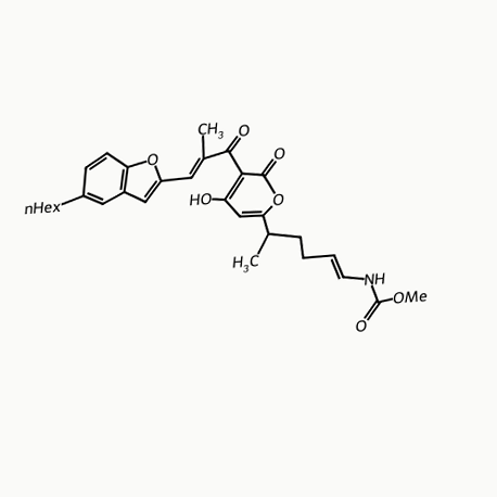 CCCCCCc1ccc2oc(/C=C(\C)C(=O)c3c(O)cc(C(C)CC/C=C/NC(=O)OC)oc3=O)cc2c1